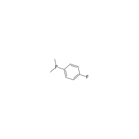 CP(C)c1ccc(F)cc1